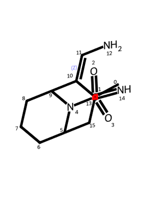 CS(=O)(=O)N1C2CCCC1/C(=C/N)C(=N)C2